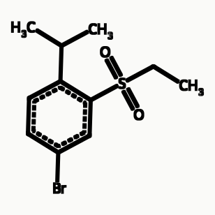 CCS(=O)(=O)c1cc(Br)ccc1C(C)C